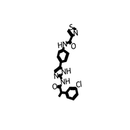 CC(C(=O)Nc1ncc(-c2ccc(NC(=O)c3cscn3)cc2)[nH]1)c1cccc(Cl)c1